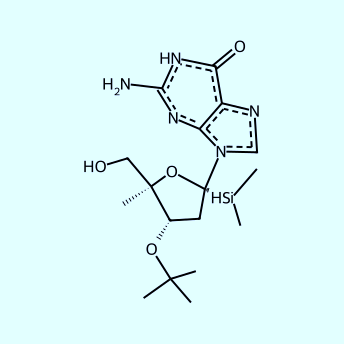 C[SiH](C)[C@]1(n2cnc3c(=O)[nH]c(N)nc32)C[C@H](OC(C)(C)C)[C@@](C)(CO)O1